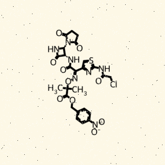 CC(C)(O/N=C(\C(=O)N[C@@H]1C(=O)N[C@H]1N1C(=O)CCC1=O)c1csc(NC(=O)CCl)n1)C(=O)OCc1ccc([N+](=O)[O-])cc1